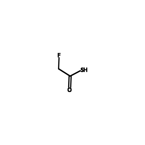 O=C(S)CF